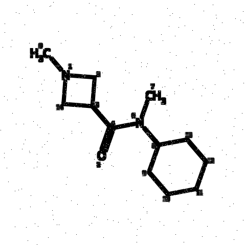 CN1CC(C(=O)N(C)C2CCCCC2)C1